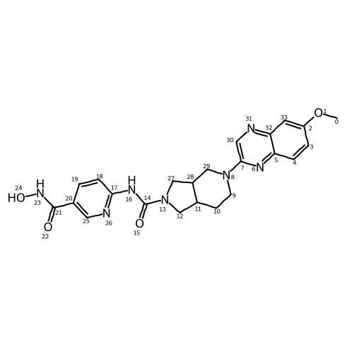 COc1ccc2nc(N3CCC4CN(C(=O)Nc5ccc(C(=O)NO)cn5)CC4C3)cnc2c1